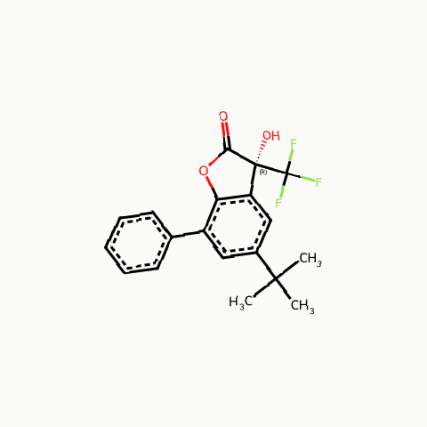 CC(C)(C)c1cc(-c2ccccc2)c2c(c1)[C@](O)(C(F)(F)F)C(=O)O2